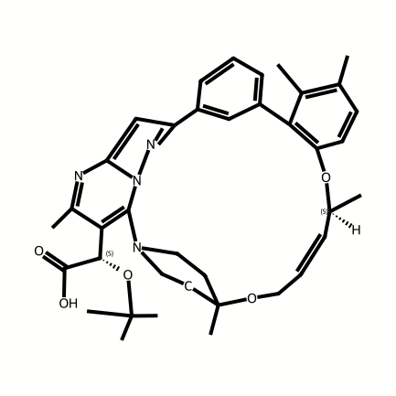 Cc1ccc2c(c1C)-c1cccc(c1)-c1cc3nc(C)c([C@H](OC(C)(C)C)C(=O)O)c(n3n1)N1CCC(C)(CC1)OCC=C[C@H](C)O2